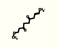 [CH2]C=CCC(=O)CCC(=O)CCOC